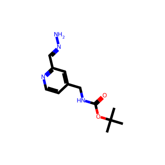 CC(C)(C)OC(=O)NCc1ccnc(C=NN)c1